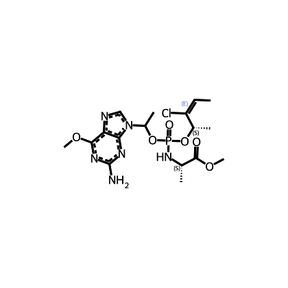 C/C=C(/Cl)[C@H](C)OP(=O)(N[C@@H](C)C(=O)OC)OC(C)n1cnc2c(OC)nc(N)nc21